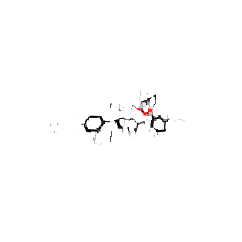 COc1ccc(-c2cc3c(N[C@@H]4C[C@H]5CC[C@@H](C4)N5CCC#N)c(/C(N)=N/c4c(F)cc(O)cc4Cl)cnn3c2)c(C)c1